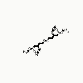 [N-]=[N+]=NC(CCSSCCC(CS(=O)ON)N=[N+]=[N-])CS(=O)ON